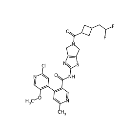 COc1cnc(Cl)cc1-c1cc(C)ncc1C(=O)Nc1nc2c(s1)CN(C(=O)C1CC(CC(F)F)C1)C2